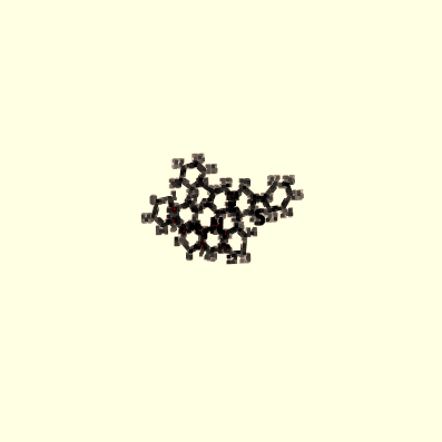 c1ccc(-c2cccc(N(c3ccccc3-c3cccc4c3sc3ccccc34)c3cccc(-c4ccccc4)c3-c3ccccc3-c3ccccc3)c2)cc1